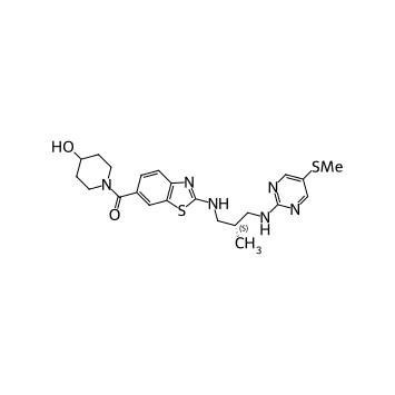 CSc1cnc(NC[C@H](C)CNc2nc3ccc(C(=O)N4CCC(O)CC4)cc3s2)nc1